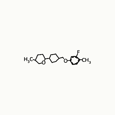 Cc1ccc(OCC2CCC(C3CCC(C)CO3)CC2)cc1F